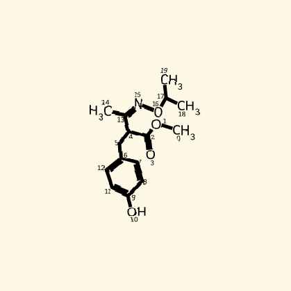 COC(=O)C(Cc1ccc(O)cc1)/C(C)=N\OC(C)C